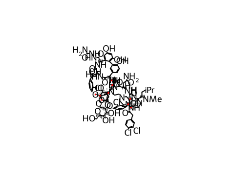 CN[C@H](CC(C)C)C(=O)N[C@H]1C(=O)N[C@@H](CC(N)=O)C(=O)N[C@H]2C(=O)N[C@H]3C(=O)N[C@H](C(=O)N[C@@H](C(=O)NNC(N)=O)c4cc(O)cc(O)c4-c4cc3ccc4O)[C@H](O)c3ccc(c(Cl)c3)Oc3cc2cc(c3O[C@@H]2O[C@H](CO)[C@@H](O)[C@H](O)[C@H]2O[C@H]2C[C@](C)(NCCN3CCN(NC(=O)Cc4ccc(Cl)c(Cl)c4)CC3)[C@H](O)[C@H](C)O2)Oc2ccc(cc2Cl)[C@H]1O